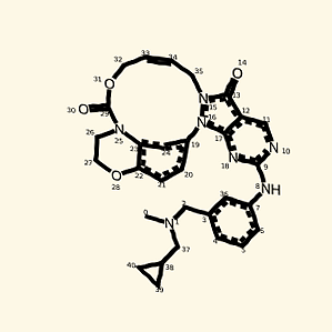 CN(Cc1cccc(Nc2ncc3c(=O)n4n(c3n2)-c2ccc3c(c2)N(CCO3)C(=O)OC/C=C\C4)c1)CC1CC1